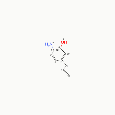 C=CCc1ccc(N)c(O)c1